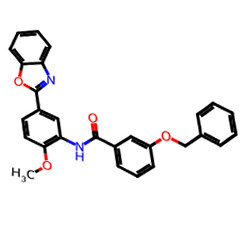 COc1ccc(-c2nc3ccccc3o2)cc1NC(=O)c1cccc(OCc2ccccc2)c1